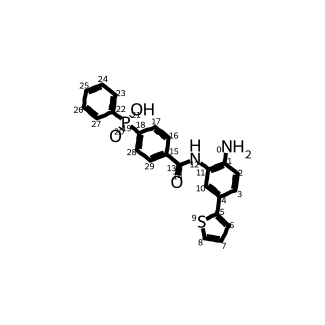 Nc1ccc(-c2cccs2)cc1NC(=O)c1ccc(P(=O)(O)c2ccccc2)cc1